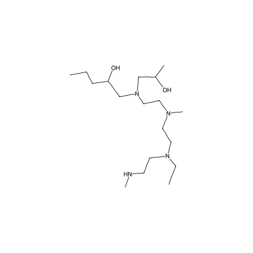 CCCC(O)CN(CCN(C)CCN(CC)CCNC)CC(C)O